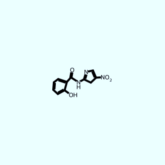 O=C(NC1=NC=C([N+](=O)[O-])C1)c1ccccc1O